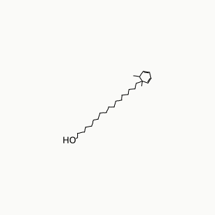 CC1C=CC=CC1(C)CCCCCCCCCCCCCCCCCCO